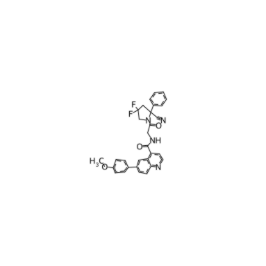 COc1ccc(-c2ccc3nccc(C(=O)NCC(=O)N4CC(F)(F)CC4(C#N)c4ccccc4)c3c2)cc1